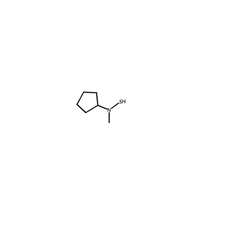 CN(S)C1CCCC1